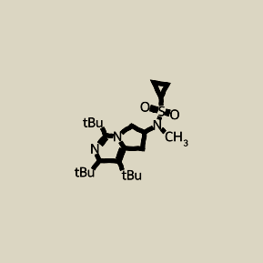 CN(C1CC2=C(C(C)(C)C)C(C(C)(C)C)N=C(C(C)(C)C)N2C1)S(=O)(=O)C1CC1